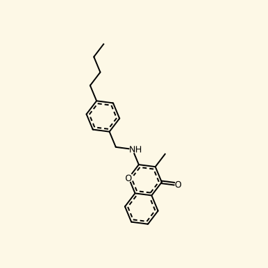 CCCCc1ccc(CNc2oc3ccccc3c(=O)c2C)cc1